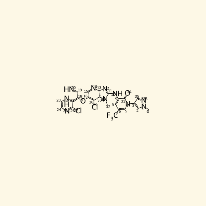 Cn1cc(-n2cc(C(F)(F)F)cc(Nc3nc4ncc(O/C(C=N)=C5/NC=CN=C5Cl)c(Cl)c4n3C)c2=O)cn1